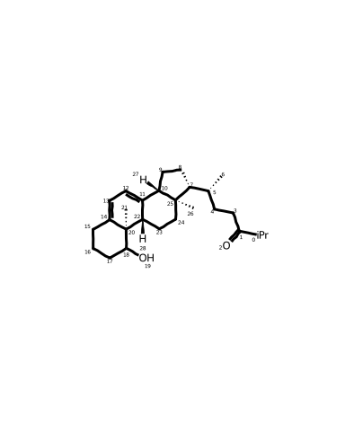 CC(C)C(=O)CC[C@@H](C)[C@H]1CC[C@H]2C3=CC=C4CCCC(O)[C@]4(C)[C@H]3CC[C@]12C